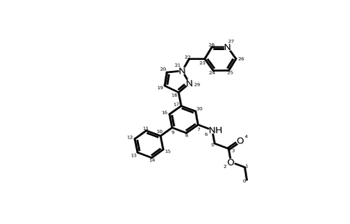 CCOC(=O)CNc1cc(-c2ccccc2)cc(-c2ccn(Cc3cccnc3)n2)c1